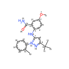 COc1ccc(Nc2cc(C(C)(C)C)nn2-c2ccccc2C)c(C(N)=O)c1